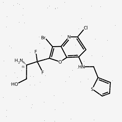 N[C@@H](CO)C(F)(F)c1oc2c(NCc3cccs3)cc(Cl)nc2c1Br